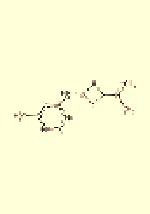 Cc1cc(N[C@H]2C[C@H](N(C)C)C2)ncn1